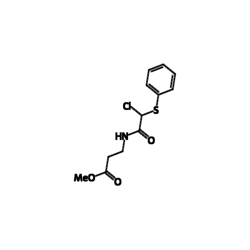 COC(=O)CCNC(=O)C(Cl)Sc1ccccc1